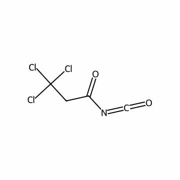 O=C=NC(=O)CC(Cl)(Cl)Cl